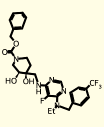 CCN(Cc1ccc(C(F)(F)F)cc1)c1ncnc(NC[C@@]2(O)CCN(C(=O)OCc3ccccc3)C[C@@H]2O)c1F